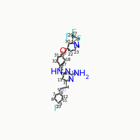 Nc1nc(/C=C/c2ccc(F)cc2)cc(Nc2ccc(Oc3ccnc(C(F)(F)F)c3)cc2)n1